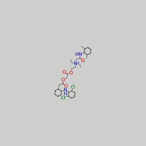 CC[N+](CC)(CCOC(=O)COC(=O)Cc1ccccc1Nc1c(Cl)cccc1Cl)CC(=O)Nc1c(C)cccc1C